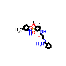 COc1ccc(NC(=O)/C=C/N=C(\N)c2ccccc2)cc1S(=O)(=O)Nc1cccc(C)c1